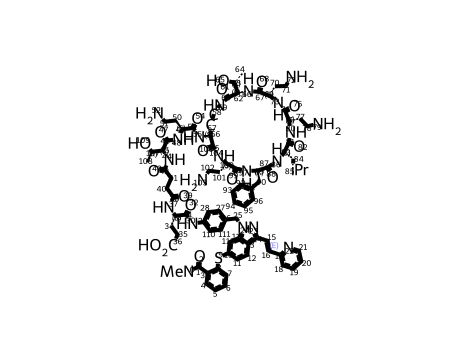 CNC(=O)c1ccccc1Sc1ccc2c(/C=C/c3ccccn3)nn(Cc3ccc(NC(=O)[C@H](CCC(=O)O)NC(=O)CCC(=O)N[C@H](C(=O)N[C@@H](CCN)C(=O)N[C@H]4CCNC(=O)[C@H]([C@@H](C)O)NC(=O)[C@H](CCN)NC(=O)[C@H](CCN)NC(=O)[C@H](CC(C)C)NC(=O)[C@@H](Cc5ccccc5)NC(=O)[C@H](CCN)NC4=O)[C@@H](C)O)cc3)c2c1